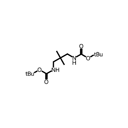 CC(C)(CNC(=O)OC(C)(C)C)CNC(=O)OC(C)(C)C